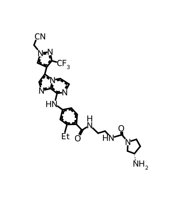 CCc1cc(Nc2nccn3c(-c4cn(CC#N)nc4C(F)(F)F)cnc23)ccc1C(=O)NCCNC(=O)N1CC[C@H](N)C1